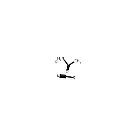 CC(N)=O.N#C[S-].[K+]